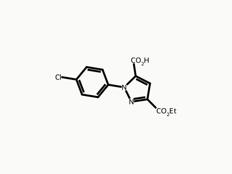 CCOC(=O)c1cc(C(=O)O)n(-c2ccc(Cl)cc2)n1